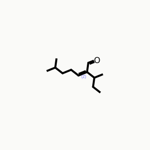 CCC(C)/C(C=O)=C/CCC(C)C